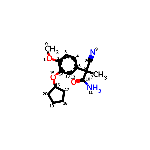 COc1ccc(C(C)(C#N)C(N)=O)cc1OC1CCCC1